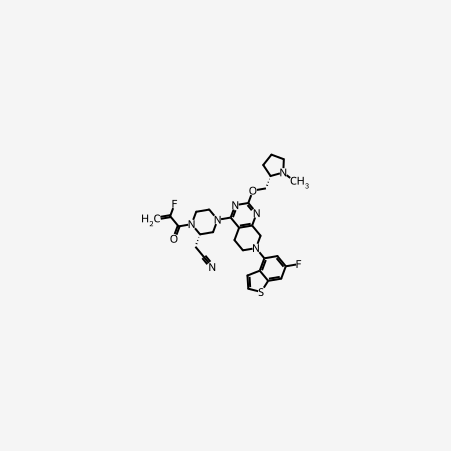 C=C(F)C(=O)N1CCN(c2nc(OC[C@@H]3CCCN3C)nc3c2CCN(c2cc(F)cc4sccc24)C3)C[C@@H]1CC#N